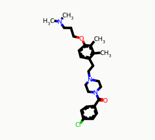 Cc1c(CCN2CCN(C(=O)c3ccc(Cl)cc3)CC2)ccc(OCCCN(C)C)c1C